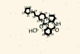 Cl.O=C1Nc2cccnc2N(C(=O)N2CCCC(CCN3CCCC3)C2)c2ccccc21